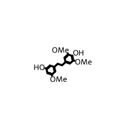 COc1cc(O)cc(CCc2cc(OC)c(O)c(OC)c2)c1